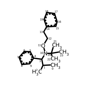 CC(C)C(c1ccccc1)N(OCCc1ccccc1)C(C)(C)C